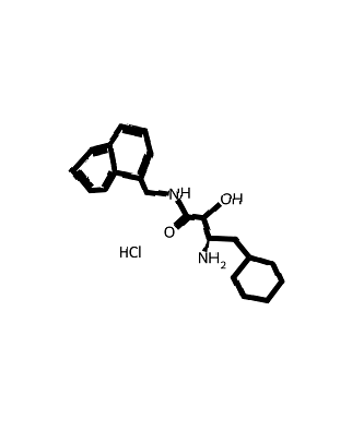 Cl.N[C@H](CC1CCCCC1)C(O)C(=O)NCc1cccc2ccccc12